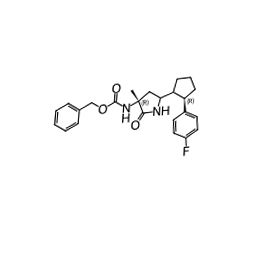 C[C@@]1(NC(=O)OCc2ccccc2)CC(C2CCC[C@H]2c2ccc(F)cc2)NC1=O